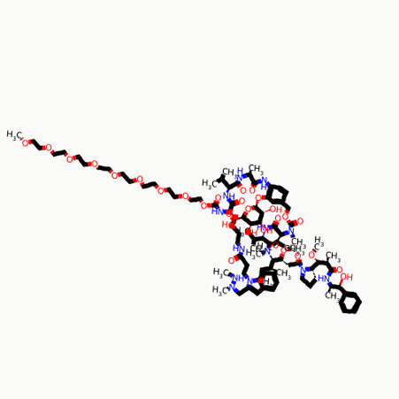 CC[C@H](C)[C@@H]([C@@H](CC(=O)N1CCC[C@H]1[C@H](OC)[C@@H](C)C(=O)N[C@H](C)[C@@H](O)c1ccccc1)OC)N(C)C(=O)[C@@H](NC(=O)[C@H](C(C)C)N(C)C(=O)OCc1ccc(NC(=O)[C@H](C)NC(=O)[C@@H](NC(=O)[C@H](CCCCNC(=O)CCn2c(CN(C)NC)cc3ccccc32)NC(=O)OCCOCCOCCOCCOCCOCCOCCOCCOC)C(C)C)c(O[C@@H]2O[C@H](C(=O)O)[C@@H](O)[C@H](O)[C@H]2O)c1)C(C)C